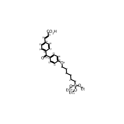 CCO[Si](CCCCCCOc1ccc(C(=O)c2ccc(C=CC(=O)O)cc2)cc1)(OCC)OCC